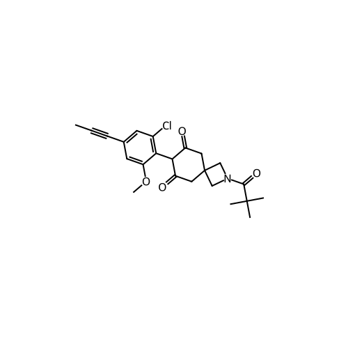 CC#Cc1cc(Cl)c(C2C(=O)CC3(CC2=O)CN(C(=O)C(C)(C)C)C3)c(OC)c1